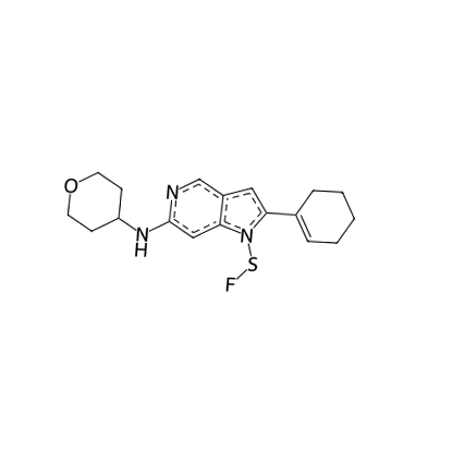 FSn1c(C2=CCCCC2)cc2cnc(NC3CCOCC3)cc21